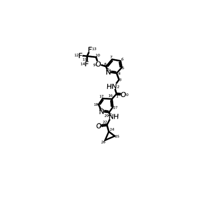 O=C(NCc1cccc(OCC(F)(F)F)n1)c1ccnc(NC(=O)C2CC2)c1